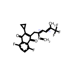 C=N/C(=C\C=C(/C)C(F)(F)F)CC1=C(C2CC2)C(=O)c2c(F)ccc(F)c2C1=O